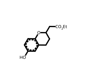 CCOC(=O)CC1CCc2cc(O)ccc2O1